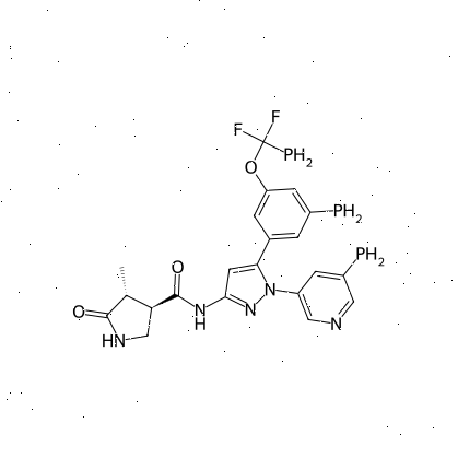 C[C@H]1C(=O)NC[C@@H]1C(=O)Nc1cc(-c2cc(P)cc(OC(F)(F)P)c2)n(-c2cncc(P)c2)n1